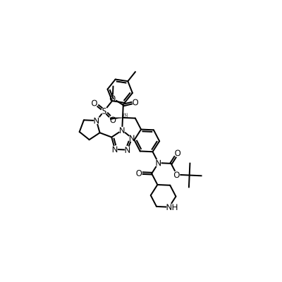 COC(=O)[C@](C)(Cc1ccc(N(C(=O)OC(C)(C)C)C(=O)C2CCNCC2)cc1)n1nnnc1C1CCCN1S(=O)(=O)c1ccc(C)cc1